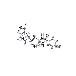 C=C/C(=C\c1c(C#N)cnn1C)c1cnc(Cl)c(NS(=O)(=O)c2ccc(F)cc2)c1